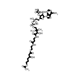 CC(=O)OCCCC(O)CC(=O)SCCNC(=O)CCNC(=O)[C@H](O)C(C)(C)COP(=O)(O)OP(=O)(O)OC[C@H]1O[C@@H](n2cnc3c(N)ncnc32)[C@H](O)[C@@H]1OP(=O)(O)O